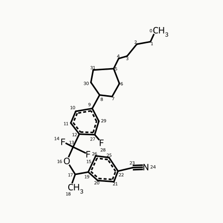 CCCCCC1CCC(c2ccc(C(F)(F)OC(C)c3ccc(C#N)cc3)c(F)c2)CC1